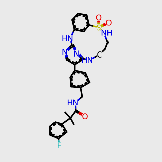 CC(C)(C(=O)NCc1ccc(-c2cnc3nc2NCCCNS(=O)(=O)c2cccc(c2)N3)cc1)c1cccc(F)c1